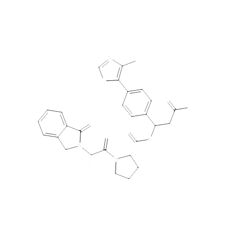 Cc1ncsc1-c1ccc(C(CC(=O)C(C)(C)C)NC(=O)[C@@H]2CCCN2C(=O)[C@H](C(C)C)N2Cc3ccccc3C2=O)cc1